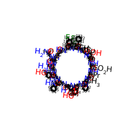 CCCC[C@H]1C(=O)N2C[C@H](O)C[C@@H]2C(=O)N[C@@H](CC(=O)O)C(=O)N[C@@H](C(C)C)C(=O)N(C)C(Cc2ccccc2)C(=O)N[C@@H](Cc2ccc(O)cc2)C(=O)N2C[C@H](O)C[C@H]2C(=O)N[C@@H](Cc2c[nH]c3ccccc23)C(=O)N[C@@H](Cc2ccc(O)cc2)C(=O)N[C@@H](CN)C(=O)N[C@H](C(=O)NCC(N)=O)CSCC(=O)N[C@@H](Cc2cc(F)c(F)c(F)c2)C(=O)N(C)[C@@H](CCc2ccccc2)C(=O)N1C